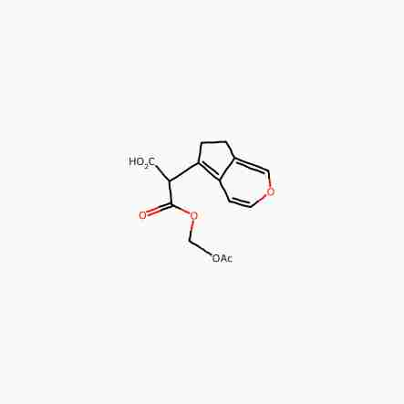 CC(=O)OCOC(=O)C(C(=O)O)C1=C2C=COC=C2CC1